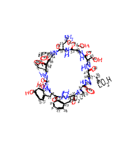 CC(C)C[C@@H]1NC(=O)N(O)NC(Cc2ccc(O)cc2)C(=O)N[C@@H](Cc2ccccc2)C(=O)NC(CC(=O)O)C(=O)N[C@@H](CC(=O)O)C(=O)NC(CO)C(=O)N[C@@H](CO)C(=O)NC(CC(N)=O)C(=O)N[C@@H](C(C)C)C(=O)C1=O